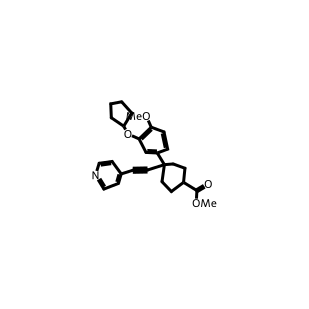 COC(=O)C1CCC(C#Cc2ccncc2)(c2ccc(OC)c(OC3CCCC3)c2)CC1